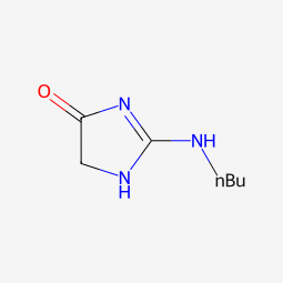 CCCCNC1=NC(=O)CN1